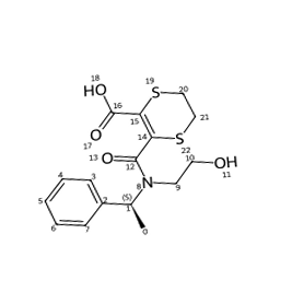 C[C@@H](c1ccccc1)N(CCO)C(=O)C1=C(C(=O)O)SCCS1